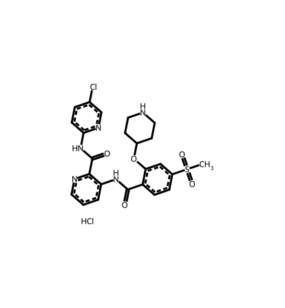 CS(=O)(=O)c1ccc(C(=O)Nc2cccnc2C(=O)Nc2ccc(Cl)cn2)c(OC2CCNCC2)c1.Cl